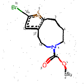 CC(C)(C)OC(=O)N1CCCc2sc(Br)cc2C1